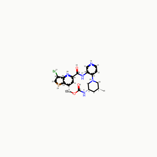 C[C@@H]1C[C@H](NC(=O)OC(C)(C)C)CN(c2ccncc2NC(=O)c2ccc3scc(Br)c3n2)C1